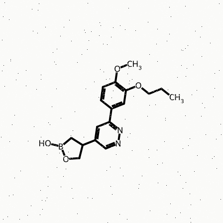 CCCOc1cc(-c2cc(C3COB(O)C3)cnn2)ccc1OC